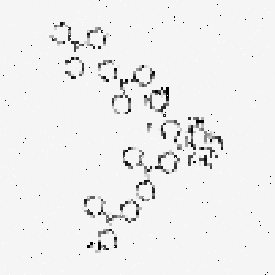 C[C@@]1(c2cc(-c3cncnc3)c(F)cc2F)Cn2ccnc2C(N)=N1.[Pd].c1ccc(P(c2ccccc2)c2ccccc2)cc1.c1ccc(P(c2ccccc2)c2ccccc2)cc1.c1ccc(P(c2ccccc2)c2ccccc2)cc1.c1ccc(P(c2ccccc2)c2ccccc2)cc1